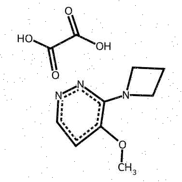 COc1ccnnc1N1CCC1.O=C(O)C(=O)O